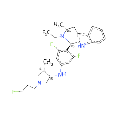 C[C@@H]1Cc2c([nH]c3ccccc23)[C@@H](c2c(F)cc(N[C@@H]3CN(CCCF)C[C@@H]3C)cc2F)N1CC(F)(F)F